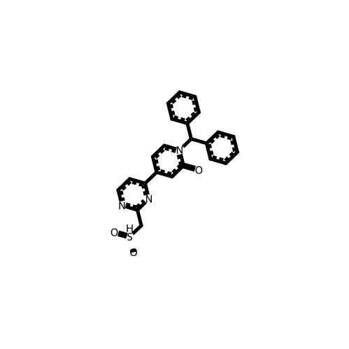 O=c1cc(-c2ccnc(C[SH](=O)=O)n2)ccn1C(c1ccccc1)c1ccccc1